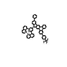 FC(F)(F)c1ccc(-c2ccc3c(c2)c2ccccc2c2cc4c5cc(-c6ccccc6)ccc5n(-c5cc(-c6cccc7cccnc67)nc(-c6cccc7cccnc67)c5)c4cc32)cc1